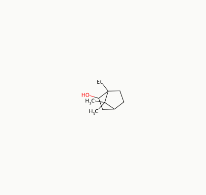 CCC12CCC(CC1O)C2(C)C